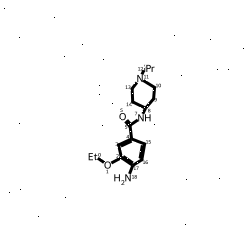 CCOc1cc(C(=O)NC2CCN(C(C)C)CC2)ccc1N